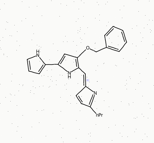 CCCC1=N/C(=C/c2[nH]c(-c3ccc[nH]3)cc2OCc2ccccc2)C=C1